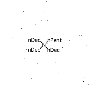 CCCCCCCCCC[N+](CCCCC)(CCCCCCCCCC)CCCCCCCCCC